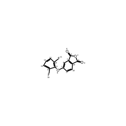 O=C1OC(=O)c2cc(Oc3c(F)cccc3F)ccc21